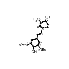 CCCCCc1cc(C=Cc2ccc(O)c(C)c2)cc(C(C)(C)C)c1O